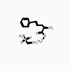 C=C(CC=Cc1ccccc1)C(=O)OC.C=CS(N)(=O)=O